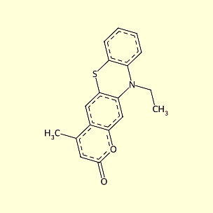 CCN1c2ccccc2Sc2cc3c(C)cc(=O)oc3cc21